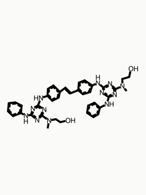 CN(CCO)c1nc(Nc2ccccc2)nc(Nc2ccc(C=Cc3ccc(Nc4nc(Nc5ccccc5)nc(N(C)CCO)n4)cc3)cc2)n1